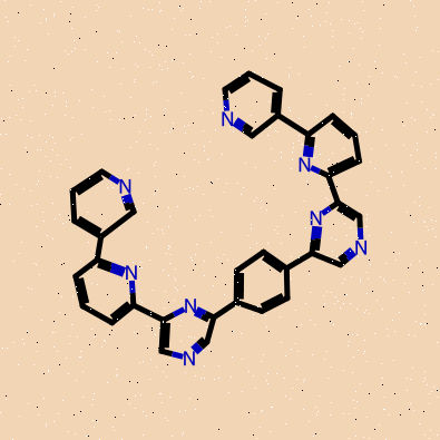 c1cncc(-c2cccc(-c3cncc(-c4ccc(-c5cncc(-c6cccc(-c7cccnc7)n6)n5)cc4)n3)n2)c1